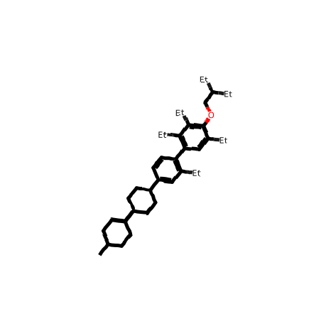 CCc1cc(C2CCC(C3CCC(C)CC3)CC2)ccc1-c1cc(CC)c(OCC(CC)CC)c(CC)c1CC